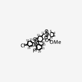 COC(=O)[C@@H]1CCCN1S(=O)(=O)CC1CCC(c2cc(F)ccc2F)(S(=O)(=O)c2ccc(Cl)cc2)CC1